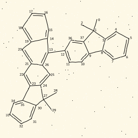 CC1(C)c2ccccc2-c2ccc(-c3c4ccccc4cc4cc5c(cc34)C(C)(C)c3ccccc3-5)cc21